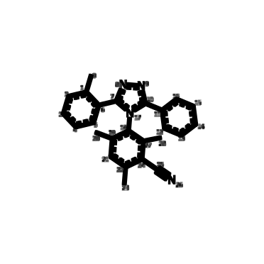 Cc1ccccc1-c1nnc(-c2ccccc2)n1-c1c(C)cc(C)c(C#N)c1C